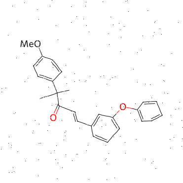 COc1ccc(C(C)(C)C(=O)C=Cc2cccc(Oc3ccccc3)c2)cc1